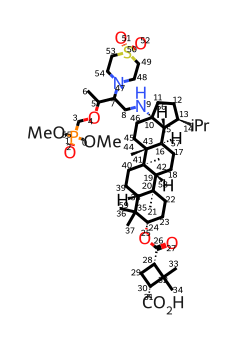 COP(=O)(COC(C)C(CN[C@]12CC[C@@H](C(C)C)[C@@H]1[C@H]1CC[C@@H]3[C@@]4(C)CC[C@H](OC(=O)[C@H]5C[C@@H](C(=O)O)C5(C)C)C(C)(C)[C@@H]4CC[C@@]3(C)[C@]1(C)CC2)N1CCS(=O)(=O)CC1)OC